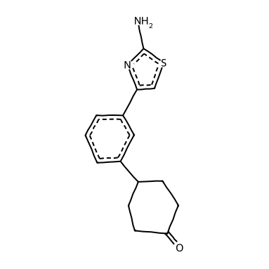 Nc1nc(-c2cccc(C3CCC(=O)CC3)c2)cs1